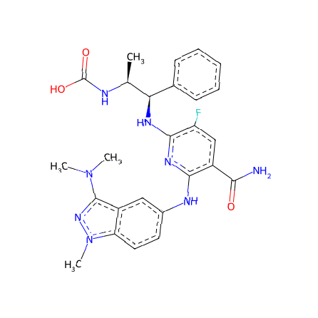 C[C@H](NC(=O)O)[C@H](Nc1nc(Nc2ccc3c(c2)c(N(C)C)nn3C)c(C(N)=O)cc1F)c1ccccc1